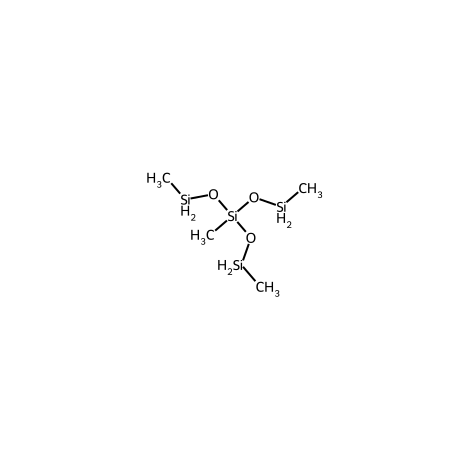 C[SiH2]O[Si](C)(O[SiH2]C)O[SiH2]C